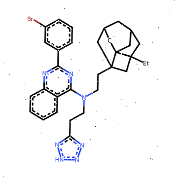 CCC12CC3CC4CC(CCN(CCc5nn[nH]n5)c5nc(-c6cccc(Br)c6)nc6ccccc56)(C1)C2(C3)C4